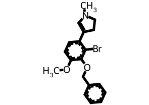 COc1ccc(C2=CN(C)CC2)c(Br)c1OCc1ccccc1